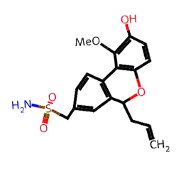 C=CCC1Oc2ccc(O)c(OC)c2-c2ccc(CS(N)(=O)=O)cc21